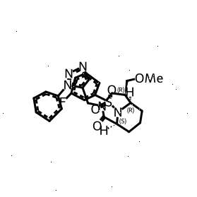 COC[C@@H]1CN(Cc2cnnn2-c2ccccc2)C(=O)[C@@H]2CCC[C@H]1N2S(=O)(=O)c1cccc(F)c1